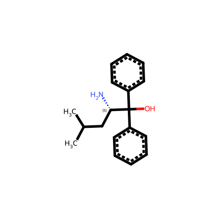 CC(C)C[C@H](N)C(O)(c1ccccc1)c1ccccc1